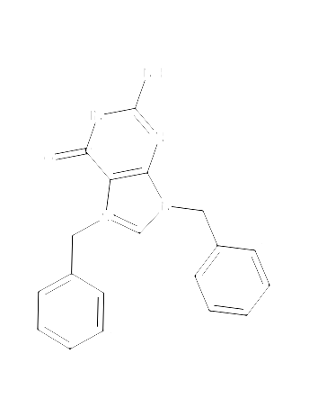 Nc1nc2c(c(=O)[nH]1)[n+](Cc1ccccc1)cn2Cc1ccccc1